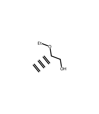 C=C.C=C.C=C.CCOCCO